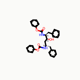 O=C(N[C@@H](Cc1ccccc1)C[C@H](O)[C@H](Cc1ccccc1)NC(=O)Oc1ccccc1)Oc1ccccc1